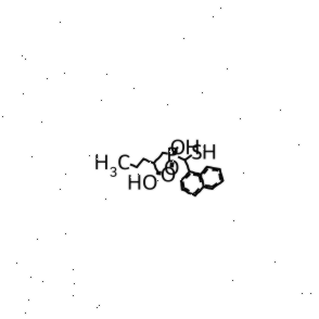 CCCC(CP(=O)(O)C(S)c1cccc2ccccc12)C(=O)O